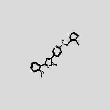 COc1ccccc1-c1cc(-c2ccc(NCc3sccc3C)nc2)n(C)n1